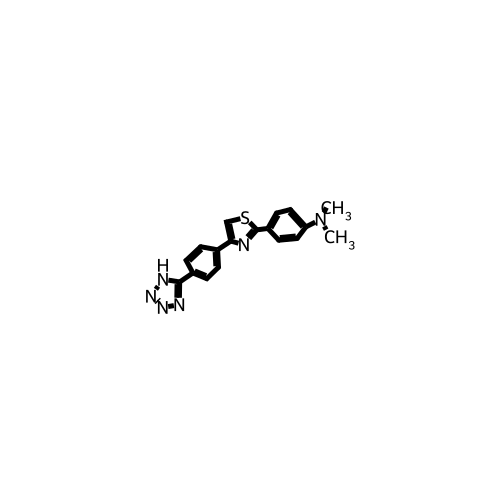 CN(C)c1ccc(-c2nc(-c3ccc(-c4nnn[nH]4)cc3)cs2)cc1